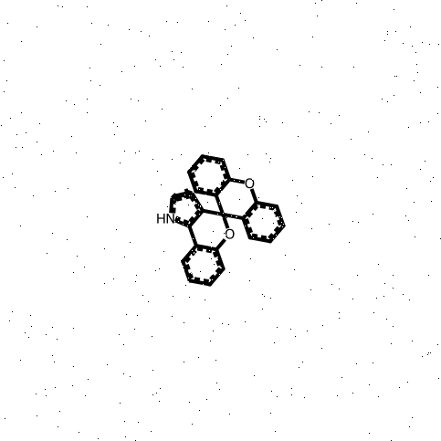 c1ccc2c(c1)OC1(c3ccccc3Oc3ccccc31)c1c-2[nH]c2ccccc12